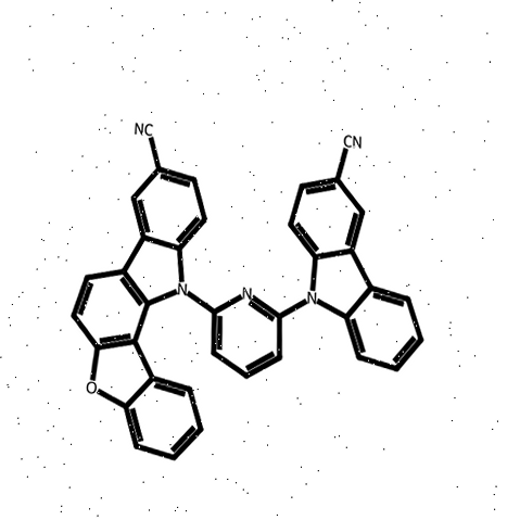 N#Cc1ccc2c(c1)c1ccccc1n2-c1cccc(-n2c3ccc(C#N)cc3c3ccc4oc5ccccc5c4c32)n1